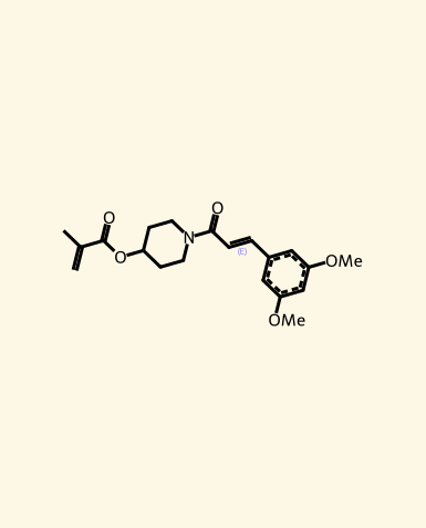 C=C(C)C(=O)OC1CCN(C(=O)/C=C/c2cc(OC)cc(OC)c2)CC1